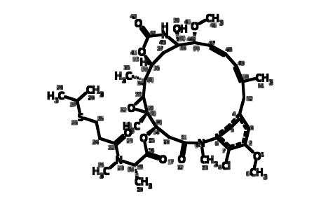 COc1cc2cc(c1Cl)N(C)C(=O)C[C@@H](OC(=O)[C@H](C)N(C)C(=O)CCSC(C)C)[C@]1(C)OC1[C@H](C)[C@@H]1C[C@@](O)(NC(=O)O1)[C@H](OC)C=CC=C(C)C2